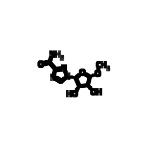 CO[C@H]1O[C@@H](n2cnc(C(N)=O)n2)[C@H](O)[C@@H]1O